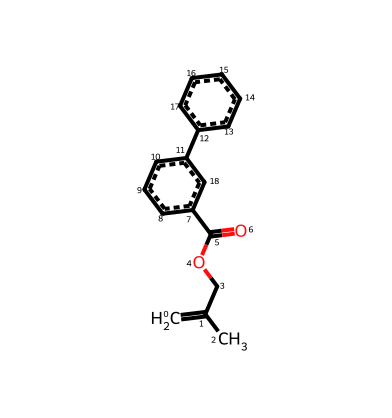 C=C(C)COC(=O)c1cccc(-c2ccccc2)c1